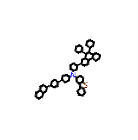 c1ccc(-c2c(-c3ccccc3)c3cc(-c4cccc(N(c5ccc(-c6ccc(-c7ccc8ccccc8c7)cc6)cc5)c5ccc6sc7ccccc7c6c5)c4)ccc3c3ccccc23)cc1